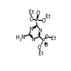 CCOP(=O)(OCC)c1nc(N)nc(P(=O)(OCC)OCC)n1